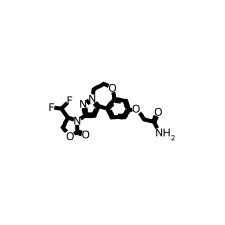 NC(=O)COc1ccc2c(c1)OCCn1nc(N3C(=O)OCC3C(F)F)cc1-2